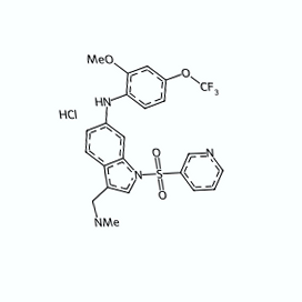 CNCc1cn(S(=O)(=O)c2cccnc2)c2cc(Nc3ccc(OC(F)(F)F)cc3OC)ccc12.Cl